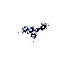 N#Cc1c(N)ncnc1N1CCC(c2nc(-c3ccc(F)c(C(F)(F)F)c3)cn2C2CCNCC2)CC1